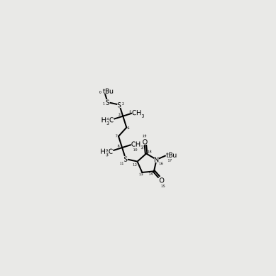 CC(C)(C)SSC(C)(C)CCC(C)(C)SC1CC(=O)N(C(C)(C)C)C1=O